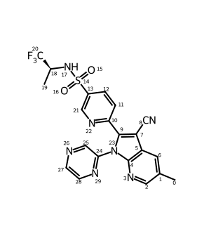 Cc1cnc2c(c1)c(C#N)c(-c1ccc(S(=O)(=O)N[C@@H](C)C(F)(F)F)cn1)n2-c1cnccn1